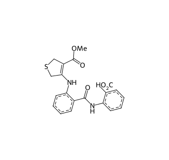 COC(=O)C1=C(Nc2ccccc2C(=O)Nc2ccccc2C(=O)O)CSC1